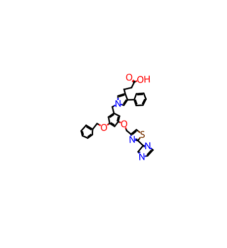 O=C(O)CCc1cn(Cc2cc(OCc3ccccc3)cc(OCc3csc(-c4cnccn4)n3)c2)cc1-c1ccccc1